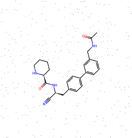 CC(=O)NCc1cccc(-c2ccc(C[C@@H](C#N)NC(=O)[C@@H]3CCCCN3)cc2)c1